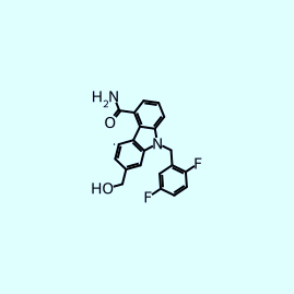 NC(=O)c1cccc2c1c1[c]cc(CO)cc1n2Cc1cc(F)ccc1F